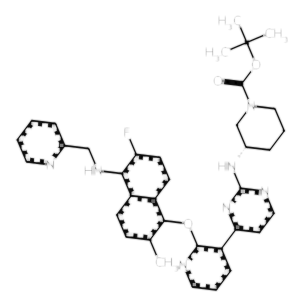 Cc1ccc2c(NCc3ccccn3)c(F)ccc2c1Oc1ncccc1-c1ccnc(N[C@H]2CCCN(C(=O)OC(C)(C)C)C2)n1